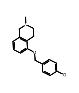 CN1CCc2c(cccc2OCc2ccc(Cl)cc2)C1